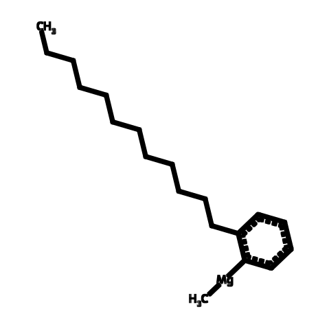 CCCCCCCCCCCCc1cccc[c]1[Mg][CH3]